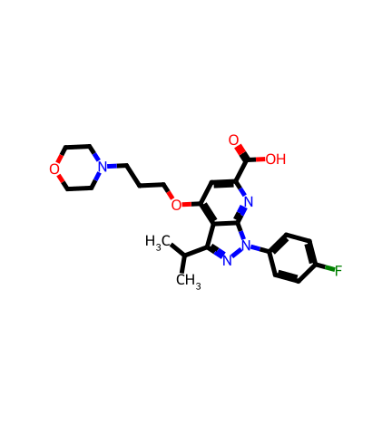 CC(C)c1nn(-c2ccc(F)cc2)c2nc(C(=O)O)cc(OCCCN3CCOCC3)c12